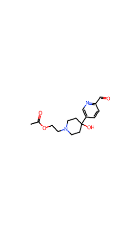 CC(=O)OCCN1CCC(O)(c2ccc(C=O)nc2)CC1